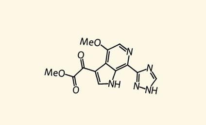 COC(=O)C(=O)c1c[nH]c2c(-c3nc[nH]n3)ncc(OC)c12